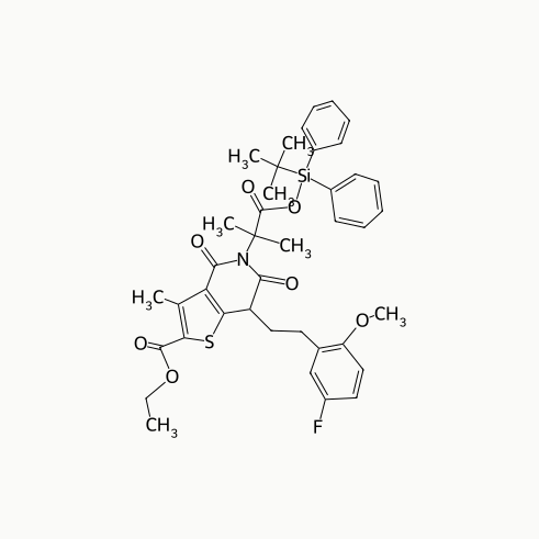 CCOC(=O)c1sc2c(c1C)C(=O)N(C(C)(C)C(=O)O[Si](c1ccccc1)(c1ccccc1)C(C)(C)C)C(=O)C2CCc1cc(F)ccc1OC